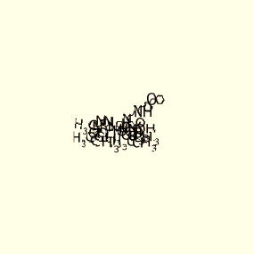 CN(C(=O)OC(C)(C)C)c1ncnc2c1ccn2[C@@H]1C[C@H](CN(CCCNCc2cccc(Oc3ccccc3)c2)CC[C@H](NC(=O)OC(C)(C)C)C(=O)O)[C@H]2OC(C)(C)O[C@H]21